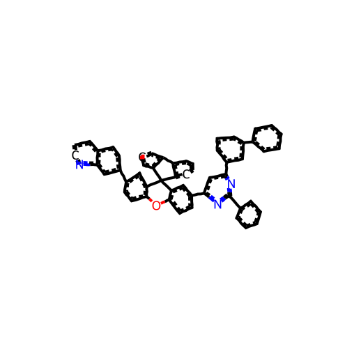 c1ccc(-c2cccc(-c3cc(-c4ccc5c(c4)C4(c6cc(-c7ccc8cccnc8c7)ccc6O5)c5ccccc5-c5ccccc54)nc(-c4ccccc4)n3)c2)cc1